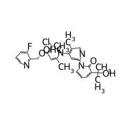 C/C(=C/C(OCc1ncccc1F)=C(\C)Cl)N(C=O)c1cc(-n2cccc(C(C)(C)O)c2=O)ncc1C